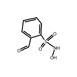 O=Cc1ccccc1S(=O)(=O)NO